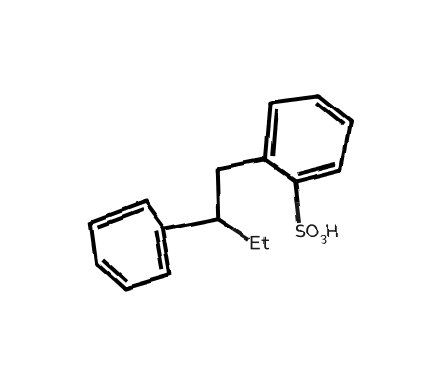 CCC(Cc1ccccc1S(=O)(=O)O)c1ccccc1